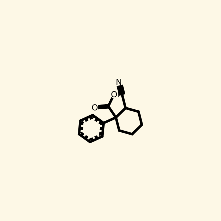 N#CC1CCCCC1(C(=O)O)c1ccccc1